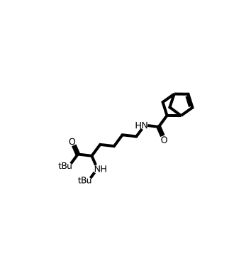 CC(C)(C)NC(CCCCNC(=O)C1CC2C=CC1C2)C(=O)C(C)(C)C